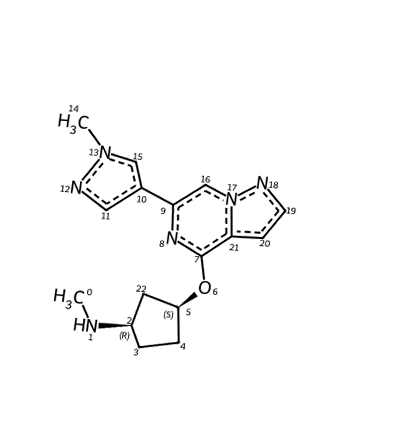 CN[C@@H]1CC[C@H](Oc2nc(-c3cnn(C)c3)cn3nccc23)C1